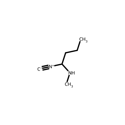 [C-]#[N+]C(CCC)NC